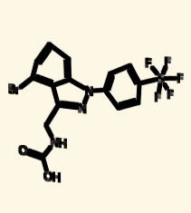 O=C(O)NCc1nn(-c2ccc(S(F)(F)(F)(F)F)cc2)c2cccc(Br)c12